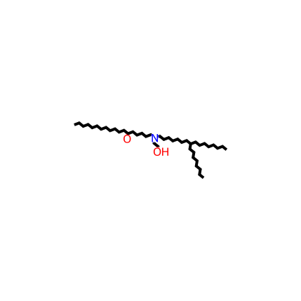 CCCCCCCCCCCCC(=O)CCCCCN(CCO)CCCCCCCC(CCCCCCCC)CCCCCCCC